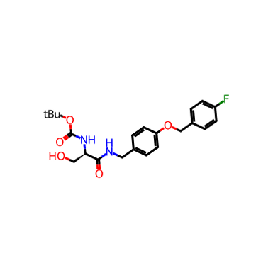 CC(C)(C)OC(=O)N[C@H](CO)C(=O)NCc1ccc(OCc2ccc(F)cc2)cc1